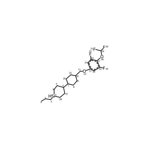 CCC[SiH]1CCC(C2CCC(COc3cc(F)c(OC(F)F)c(F)c3)CC2)CC1